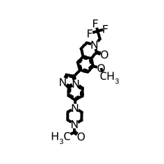 COc1cc(-c2cnc3cc(N4CCN(C(C)=O)CC4)ccn23)cc2c1C(=O)N(CC(F)(F)F)CC2